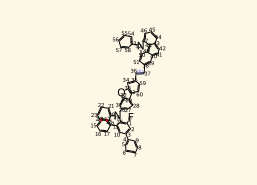 Fc1cc(-c2ccccc2)cc(-c2ccccc2)c1N(c1ccccc1)c1ccc2c(c1)oc1cc(/C=C/c3cc4ccc5cccc6c5c4c(c3)n6-c3ccccc3)ccc12